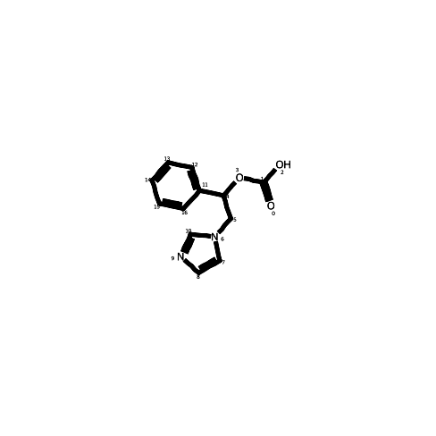 O=C(O)OC(Cn1ccnc1)c1ccccc1